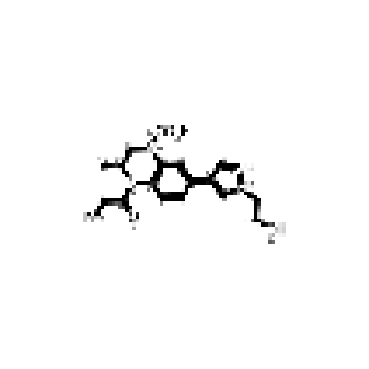 CC(C)CC(=O)N1c2ccc(-c3cnn(CCO)c3)cc2N(C(=O)O)C[C@@H]1C